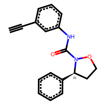 C#Cc1cccc(NC(=O)N2OCC[C@H]2c2ccccc2)c1